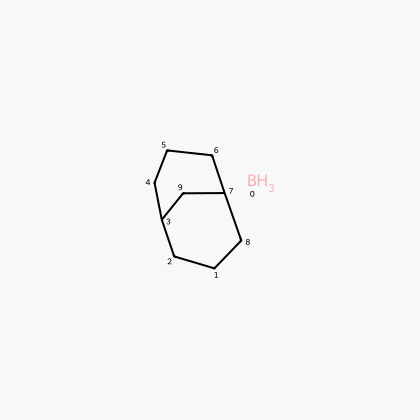 B.C1CC2CCCC(C1)C2